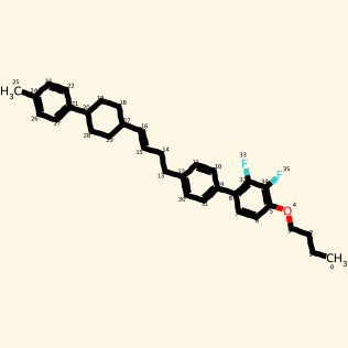 CCCCOc1ccc(-c2ccc(CC/C=C/C3CCC(c4ccc(C)cc4)CC3)cc2)c(F)c1F